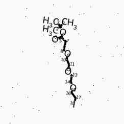 CC(C)(C)OC(=O)CCOCCOCCOCCI